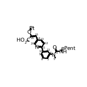 CCCCCNC(=O)N(C)c1cccc(-c2ccc(/C=C(/OCC)C(=O)O)cn2)c1